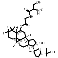 C[C@H]1[C@@]23CC[C@]4(C)[C@@H]([C@]5(C)CC[C@@H](C(C)(C)O)O5)[C@@H](O)C[C@@]4(C)[C@@H]2C[C@H](OC(=O)CNC(=O)C(CO)NCl)[C@H]2C(C)(C)C(F)(F)CC[C@@]123